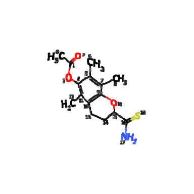 CC(=O)Oc1c(C)c(C)c2c(c1C)CCC(C(N)=S)O2